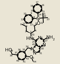 CCC[C@@H](CCO[Si](c1ccccc1)(c1ccccc1)C(C)(C)C)Nc1nc(N)nc2cnn(Cc3cc(CO)ccc3OC)c12